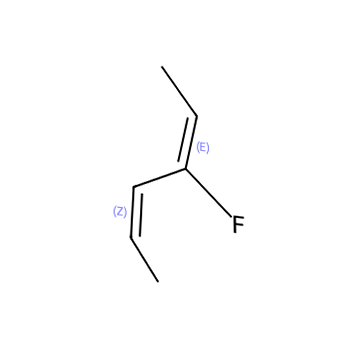 C/C=C\C(F)=C/C